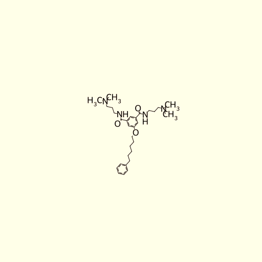 CN(C)CCCNC(=O)c1cc(OCCCCCCc2ccccc2)cc(C(=O)NCCCN(C)C)c1